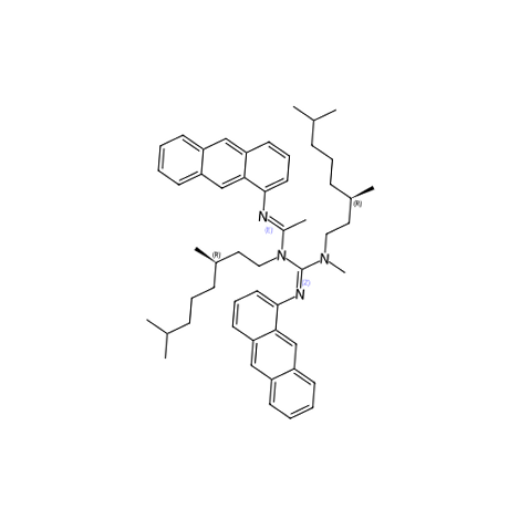 C/C(=N\c1cccc2cc3ccccc3cc12)N(CC[C@H](C)CCCC(C)C)/C(=N\c1cccc2cc3ccccc3cc12)N(C)CC[C@H](C)CCCC(C)C